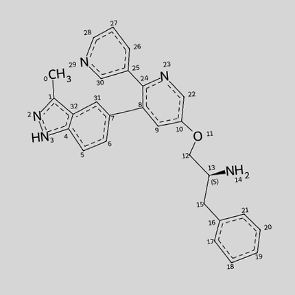 Cc1n[nH]c2ccc(-c3cc(OC[C@@H](N)Cc4ccccc4)cnc3-c3cccnc3)cc12